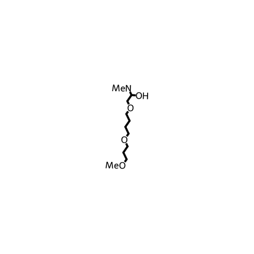 CNC(O)COCCCCOCCCOC